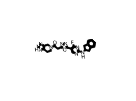 O=C(Cc1nnc(-c2cnc(NC3Cc4ccccc4C3)nc2F)o1)N1CCc2[nH]nnc2C1